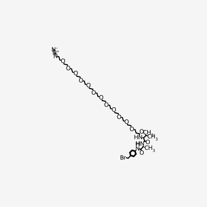 CC(C)[C@H](NC(=O)CCOCCOCCOCCOCCOCCOCCOCCOCCOCCOCCOCCOCCN=[N+]=[N-])C(=O)N[C@@H](C)C(=O)Nc1ccc(CBr)cc1